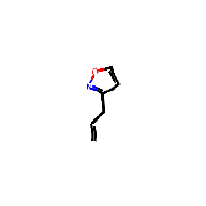 C=CCc1ccon1